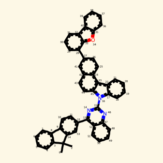 CC1(C)c2ccccc2-c2ccc(-c3nc(-n4c5ccccc5c5c6ccc(-c7cccc8c7oc7ccccc78)cc6ccc54)nc4ccccc34)cc21